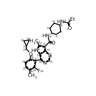 CCC(=O)N[C@H]1CC[C@H](NC(=O)c2c(C)[nH]c3c(-c4c(OCC5CC5)ccc(C)c4F)ncnc23)CC1